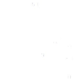 CCOn1cc(C(C(N)=O)c2ccccc2C(=O)OC)c2ccccc21